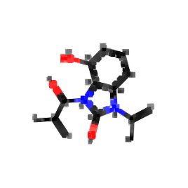 C=C(C)C(=O)n1c(=O)n(C(=C)C)c2cccc(O)c21